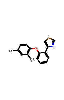 Cc1ccc(Oc2ccccc2-c2cs[c]n2)c(C)c1